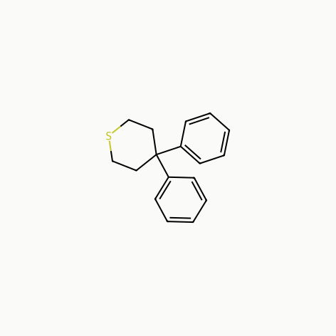 c1ccc(C2(c3ccccc3)CCSCC2)cc1